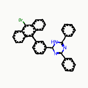 Brc1c2ccccc2c(-c2cccc(C3N=C(c4ccccc4)N=C(c4ccccc4)N3)c2)c2ccccc12